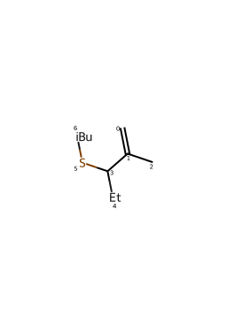 C=C(C)C(CC)SC(C)CC